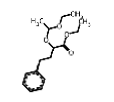 CCOC(=O)C(CCc1ccccc1)OC(C)OCC